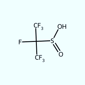 O=S(O)C(F)(C(F)(F)F)C(F)(F)F